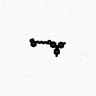 Cc1ccc(N(c2ccc(C)cc2)c2ccc(OCCCCCCc3cccc4c3CC4)cc2)cc1